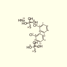 Clc1ccccc1.Clc1ccccc1.OP(O)(O)=S.OP(O)(O)=S.[NaH]